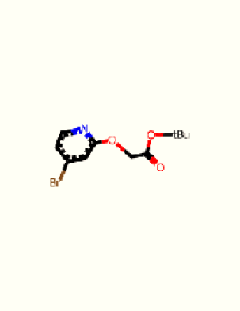 CC(C)(C)OC(=O)COc1cc(Br)ccn1